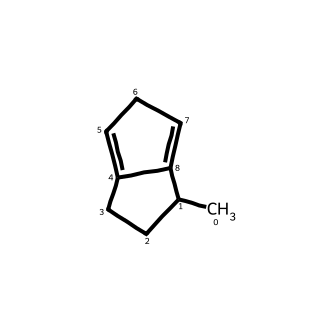 CC1CCC2=CCC=C21